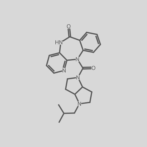 CC(C)CN1CCC2C1CCN2C(=O)N1c2ccccc2C(=O)Nc2cccnc21